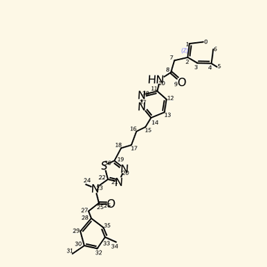 C/C=C(\C=C(C)C)CC(=O)Nc1ccc(CCCCc2nnc(N(C)C(=O)Cc3cc(C)cc(C)c3)s2)nn1